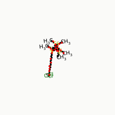 CCCCSc1cc2c3cc(SCCCC)c(SCCCC)cc3c3cc(SCCCCCCCCCCCCCCCCCC[Si](Cl)(Cl)Cl)c(SCCCC)cc3c2cc1SCCCC